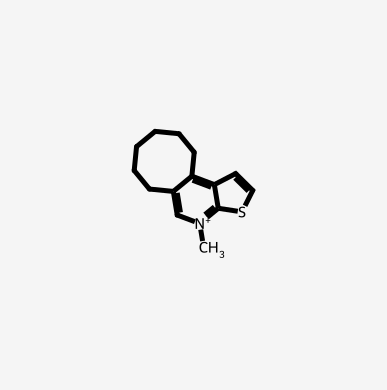 C[n+]1cc2c(c3ccsc31)CCCCCC2